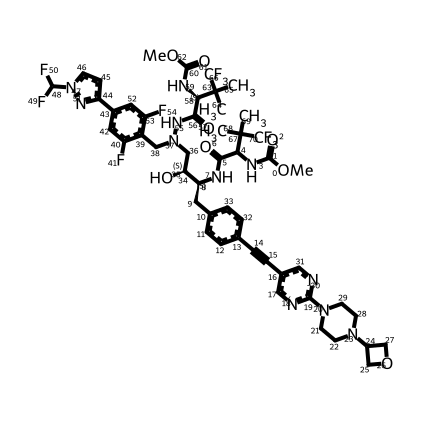 COC(=O)NC(C(=O)N[C@@H](Cc1ccc(C#Cc2cnc(N3CCN(C4COC4)CC3)nc2)cc1)[C@@H](O)CN(Cc1c(F)cc(-c2ccn(C(F)F)n2)cc1F)NC(=O)[C@@H](NC(=O)OC)C(C)(C)C(F)(F)F)C(C)(C)C(F)(F)F